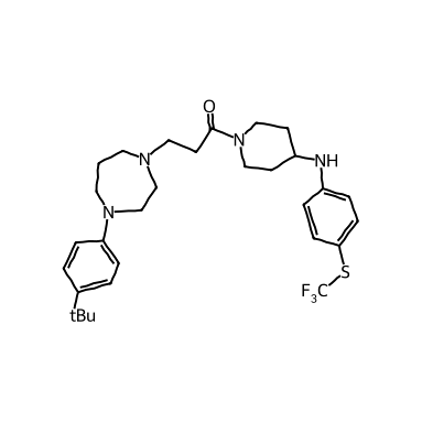 CC(C)(C)c1ccc(N2CCCN(CCC(=O)N3CCC(Nc4ccc(SC(F)(F)F)cc4)CC3)CC2)cc1